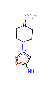 CCOC(=O)N1CCN([n+]2cc([NH-])on2)CC1